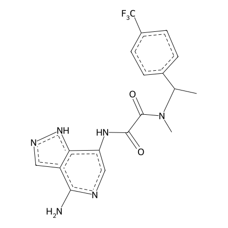 CC(c1ccc(C(F)(F)F)cc1)N(C)C(=O)C(=O)Nc1cnc(N)c2cn[nH]c12